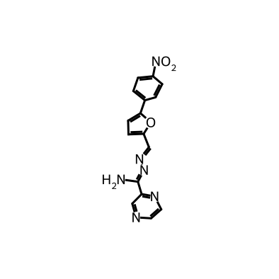 NC(=NN=Cc1ccc(-c2ccc([N+](=O)[O-])cc2)o1)c1cnccn1